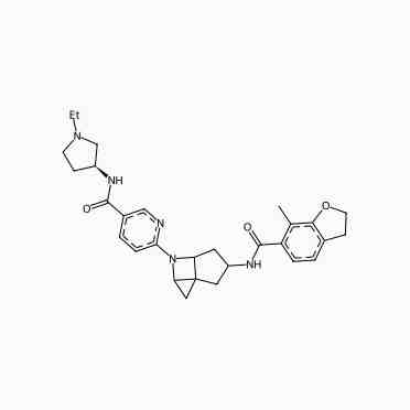 CCN1CC[C@H](NC(=O)c2ccc(N3C4CC(NC(=O)c5ccc6c(c5C)OCC6)CC45CC35)nc2)C1